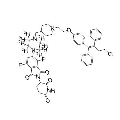 [2H]C1([2H])N(CC2CCN(CCOc3ccc(C(=C(CCCl)c4ccccc4)c4ccccc4)cc3)CC2)C([2H])([2H])C([2H])([2H])N(c2cc(F)c3c(c2F)C(=O)N(C2CCC(=O)NC2=O)C3=O)C1([2H])[2H]